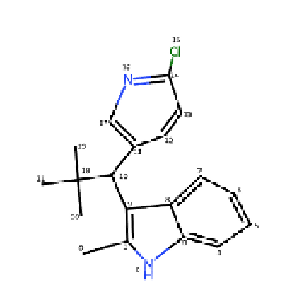 Cc1[nH]c2ccccc2c1C(c1ccc(Cl)nc1)C(C)(C)C